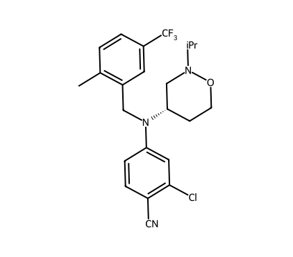 Cc1ccc(C(F)(F)F)cc1CN(c1ccc(C#N)c(Cl)c1)[C@H]1CCON(C(C)C)C1